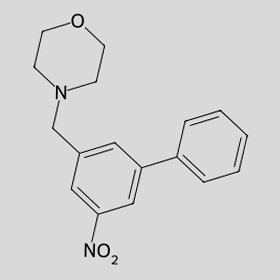 O=[N+]([O-])c1cc(CN2CCOCC2)cc(-c2ccccc2)c1